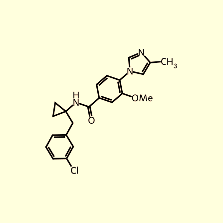 COc1cc(C(=O)NC2(Cc3cccc(Cl)c3)CC2)ccc1-n1cnc(C)c1